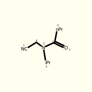 CCCC(=O)N(CC#N)C(C)C